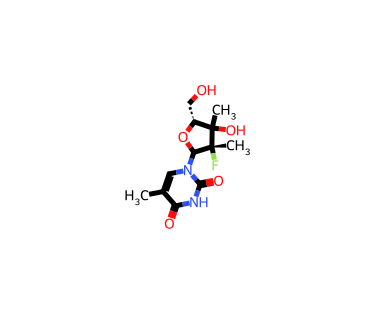 Cc1cn(C2O[C@H](CO)C(C)(O)[C@]2(C)F)c(=O)[nH]c1=O